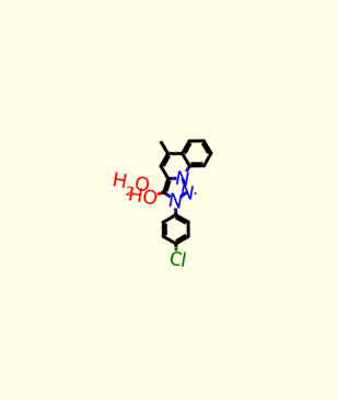 CC1=CC2=C(O)N(c3ccc(Cl)cc3)[N]N2c2ccccc21.O